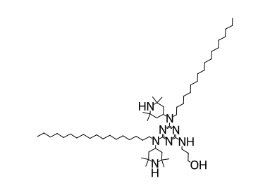 CCCCCCCCCCCCCCCCCCN(c1nc(NCCCO)nc(N(CCCCCCCCCCCCCCCCCC)C2CC(C)(C)NC(C)(C)C2)n1)C1CC(C)(C)NC(C)(C)C1